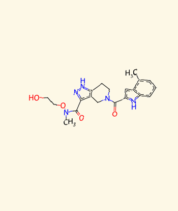 Cc1cccc2[nH]c(C(=O)N3CCc4[nH]nc(C(=O)N(C)OCCO)c4C3)cc12